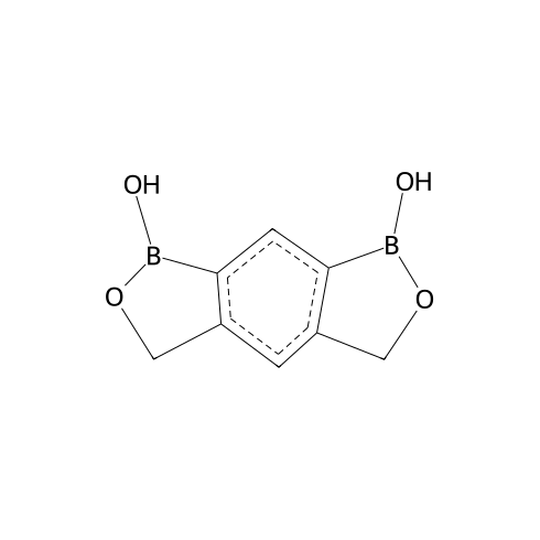 OB1OCc2cc3c(cc21)B(O)OC3